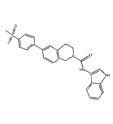 CS(=O)(=O)c1ccc(-c2ccc3c(c2)CCN(C(=O)Nc2c[nH]c4ccccc24)C3)cc1